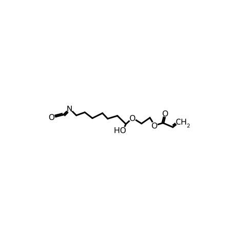 C=CC(=O)OCCOC(O)CCCCCCN=C=O